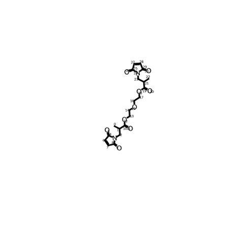 CC(CN1C(=O)C=CC1=O)C(=O)OCCOCCOC(=O)C(C)CN1C(=O)C=CC1=O